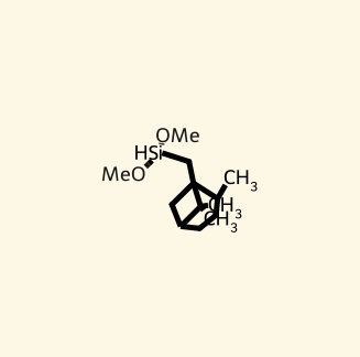 CO[SiH](CC12CC(CCC1C)C2(C)C)OC